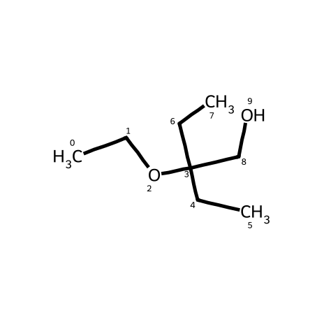 CCOC(CC)(CC)CO